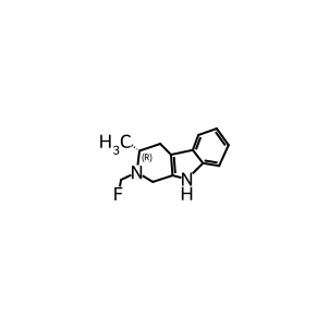 C[C@@H]1Cc2c([nH]c3ccccc23)CN1CF